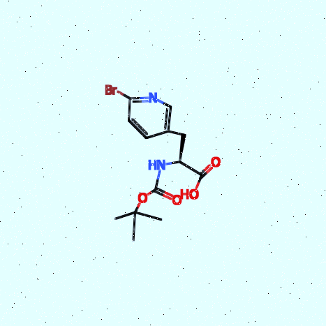 CC(C)(C)OC(=O)N[C@@H](Cc1ccc(Br)nc1)C(=O)O